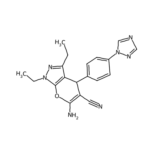 CCc1nn(CC)c2c1C(c1ccc(-n3cncn3)cc1)C(C#N)=C(N)O2